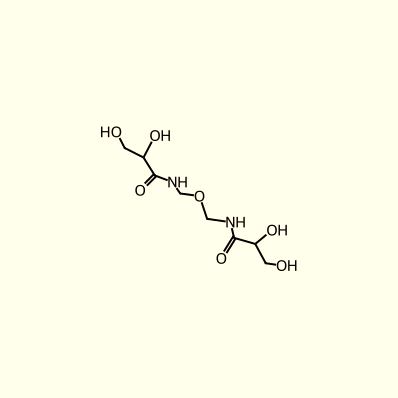 O=C(NCOCNC(=O)C(O)CO)C(O)CO